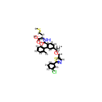 CSCC[C@H](NC(=O)c1ccc(COCc2cnc(-c3cccc(Cl)c3)s2)cc1-c1ccccc1C)C(=O)[O-].[Li+]